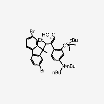 CCCCN(CCCC)c1ccc(/C(=C/C(=O)O)C(CC)C2(C)c3cc(Br)ccc3-c3ccc(Br)cc32)c(O[Si](C)(C)C(C)(C)C)c1